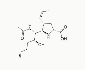 C=CCC[C@H](O)[C@H](NC(C)=O)[C@@H]1N[C@@H](C(=O)O)C[C@H]1/C=C\C